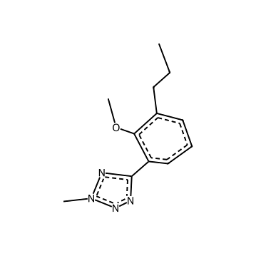 CCCc1cccc(-c2nnn(C)n2)c1OC